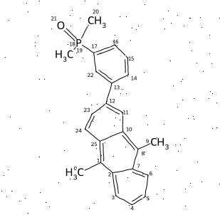 Cc1c2ccccc2c(C)c2cc(-c3cccc(P(C)(C)=O)c3)ccc12